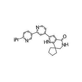 CC(C)c1ccc(-c2cc(-c3cc4c([nH]3)C3(CCCC3)CNC4=O)ccn2)cn1